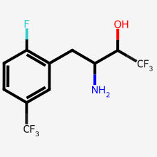 NC(Cc1cc(C(F)(F)F)ccc1F)C(O)C(F)(F)F